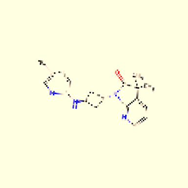 CC1(C)C(=O)N([C@H]2C[C@H](Nc3ccc(C#N)cn3)C2)c2ncccc21